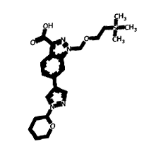 C[Si](C)(C)CCOCn1nc(C(=O)O)c2ccc(-c3cnn(C4CCCCO4)c3)cc21